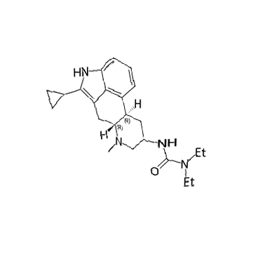 CCN(CC)C(=O)NC1C[C@@H]2c3cccc4[nH]c(C5CC5)c(c34)C[C@H]2N(C)C1